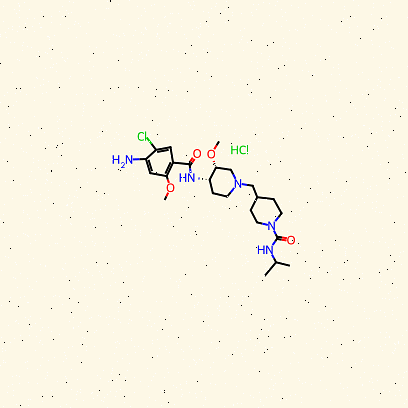 COc1cc(N)c(Cl)cc1C(=O)N[C@H]1CCN(CC2CCN(C(=O)NC(C)C)CC2)C[C@H]1OC.Cl